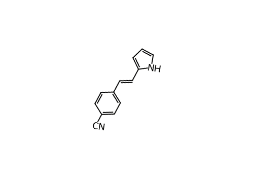 N#Cc1ccc(/C=C/c2ccc[nH]2)cc1